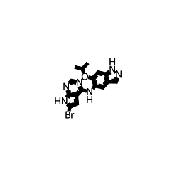 CC(C)Oc1cc2[nH]ncc2cc1Nc1ncnc2[nH]c(Br)cc12